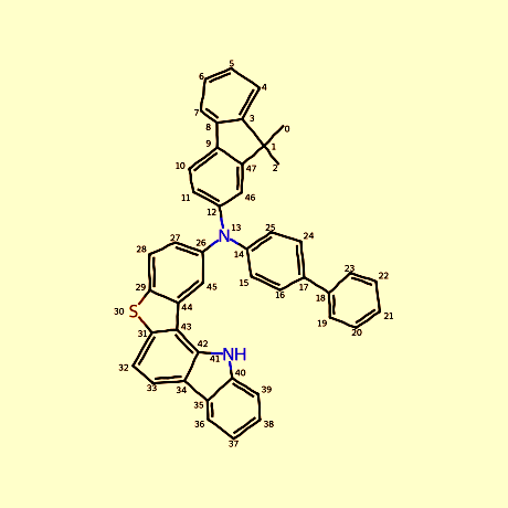 CC1(C)c2ccccc2-c2ccc(N(c3ccc(-c4ccccc4)cc3)c3ccc4sc5ccc6c7ccccc7[nH]c6c5c4c3)cc21